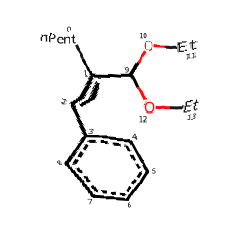 CCCCCC(=Cc1ccccc1)C(OCC)OCC